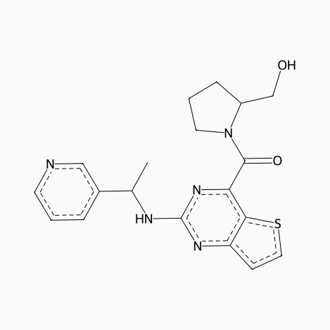 CC(Nc1nc(C(=O)N2CCCC2CO)c2sccc2n1)c1cccnc1